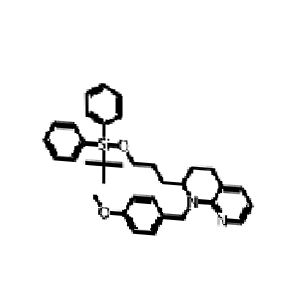 COc1ccc(CN2c3ncccc3CCC2CCCO[Si](c2ccccc2)(c2ccccc2)C(C)(C)C)cc1